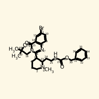 CN1CCCC(c2nc3ccc(Br)cc3c(=O)n2CC(C)(C)C)C1CCNC(=O)OCc1ccccc1